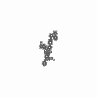 O=C(NS(=O)(=O)c1ccc(NCC2CCOCC2)c([N+](=O)[O-])c1)c1ccc(N2CCC3(CC2)CC(N2CCCC2c2ccccc2N2CCCC2)C3)cc1Oc1cnc2[nH]ccc2c1